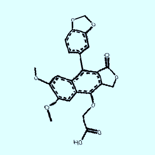 COc1cc2c(OCC(=O)O)c3c(c(-c4ccc5c(c4)OCO5)c2cc1OC)C(=O)OC3